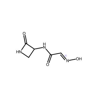 O=C(/C=N/O)NC1CNC1=O